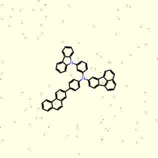 c1cc(N(c2ccc(-c3ccc4c(ccc5ccccc54)c3)cc2)c2ccc3c(c2)-c2cccc4cccc-3c24)cc(-n2c3ccccc3c3ccccc32)c1